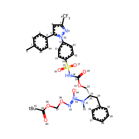 Cc1ccc(-c2cc(C(F)(F)F)nn2-c2ccc(S(=O)(=O)NC(=O)OC[C@H](Cc3ccccc3)N(C)[N+]([O-])=NOCOC(=O)C(C)(C)C)cc2)cc1